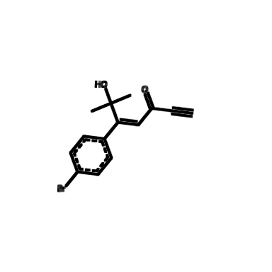 C#CC(=O)/C=C(/c1ccc(Br)cc1)C(C)(C)O